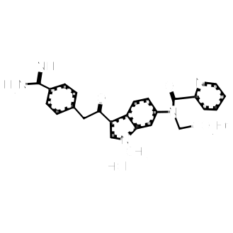 CCOC(=O)CN(C(=O)c1ccccn1)c1ccc2c(C(=O)Cc3ccc(C(=N)N)cc3)cn(C)c2c1.Cl